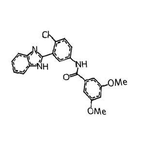 COc1cc(OC)cc(C(=O)Nc2ccc(Cl)c(-c3nc4ccccc4[nH]3)c2)c1